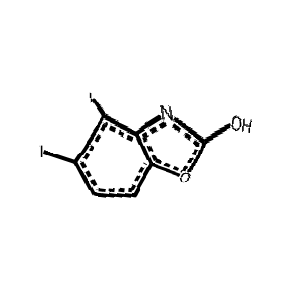 Oc1nc2c(I)c(I)ccc2o1